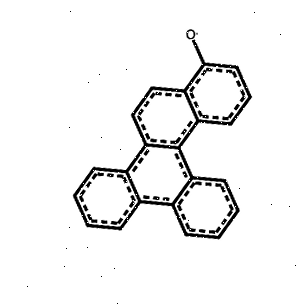 [O]c1cccc2c1ccc1c3ccccc3c3ccccc3c21